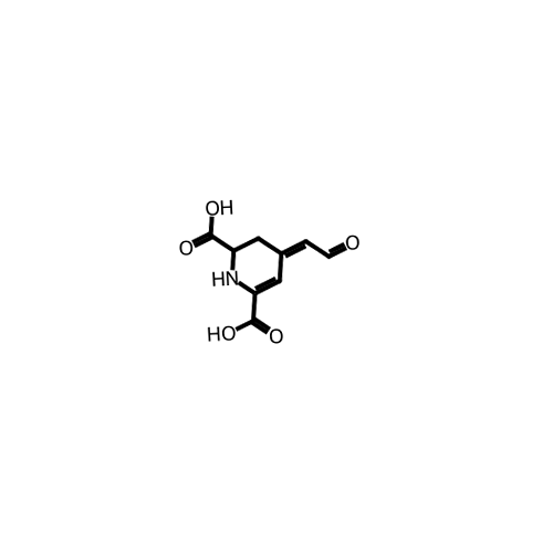 O=CC=C1C=C(C(=O)O)NC(C(=O)O)C1